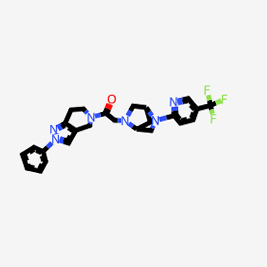 O=C(CN1CC2CC1CN2c1ccc(C(F)(F)F)cn1)N1CCc2nn(-c3ccccc3)cc2C1